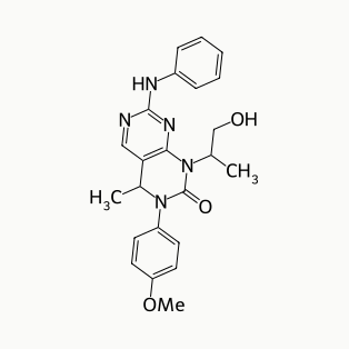 COc1ccc(N2C(=O)N(C(C)CO)c3nc(Nc4ccccc4)ncc3C2C)cc1